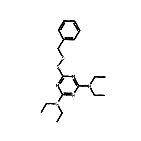 CCN(CC)c1nc(SSCc2ccccc2)nc(N(CC)CC)n1